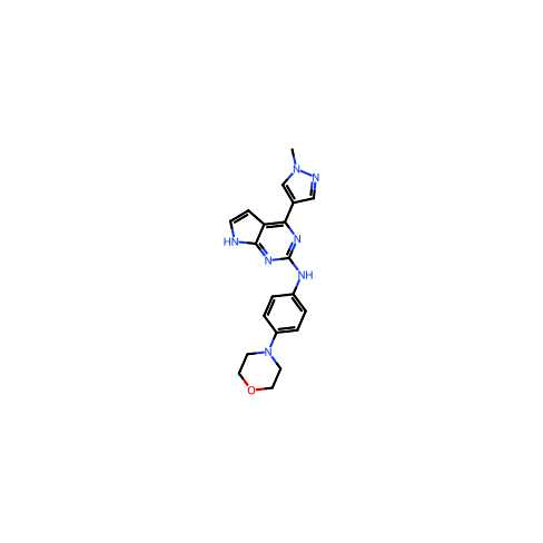 Cn1cc(-c2nc(Nc3ccc(N4CCOCC4)cc3)nc3[nH]ccc23)cn1